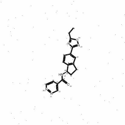 CCc1nc(-c2ccc3c(c2)CC[C@H]3NC(=O)c2ccnnc2)no1